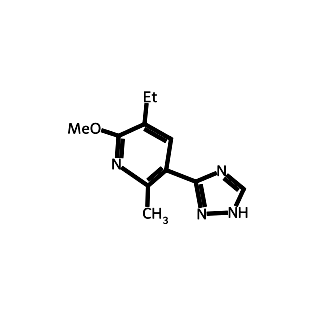 CCc1cc(-c2nc[nH]n2)c(C)nc1OC